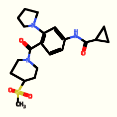 CS(=O)(=O)C1CCN(C(=O)c2ccc(NC(=O)C3CC3)cc2N2CCCC2)CC1